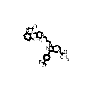 CC(=O)N1CCc2c(c(-c3ccc(C(F)(F)F)cc3)nn2CCCN2CCC(N3C(=O)COc4cccc(C)c43)CC2)C1